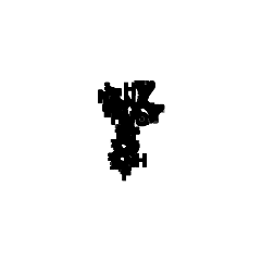 CC(C)n1nccc1C(=O)NC(C(=O)Nc1cnn(Cc2ccc(F)[nH]c2=O)c1)C(C1CC1)C1CC1